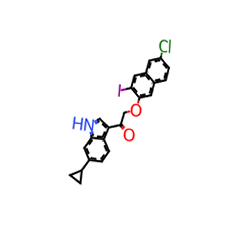 O=C(COc1cc2ccc(Cl)cc2cc1I)c1c[nH]c2cc(C3CC3)ccc12